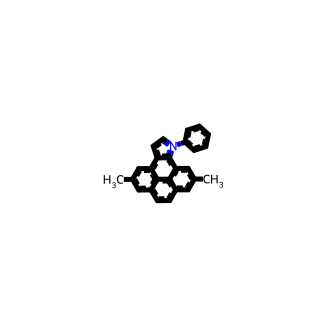 Cc1cc2ccc3cc(C)cc4c3c2c(c1)c1ccn(-c2ccccc2)c14